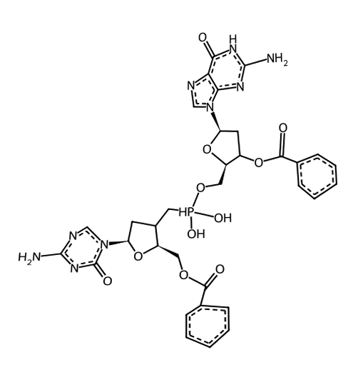 Nc1ncn([C@H]2CC(C[PH](O)(O)OC[C@H]3O[C@@H](n4cnc5c(=O)[nH]c(N)nc54)CC3OC(=O)c3ccccc3)[C@@H](COC(=O)c3ccccc3)O2)c(=O)n1